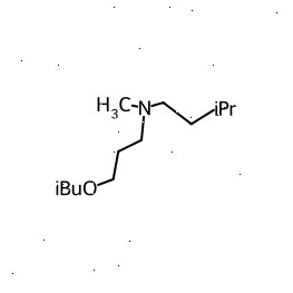 CC(C)CCN(C)CCCOCC(C)C